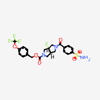 NS(=O)(=O)c1ccc(C(=O)N2C[C@H]3CN(C(=O)OCc4ccc(OC(F)(F)F)cc4)C[C@]3(F)C2)cc1